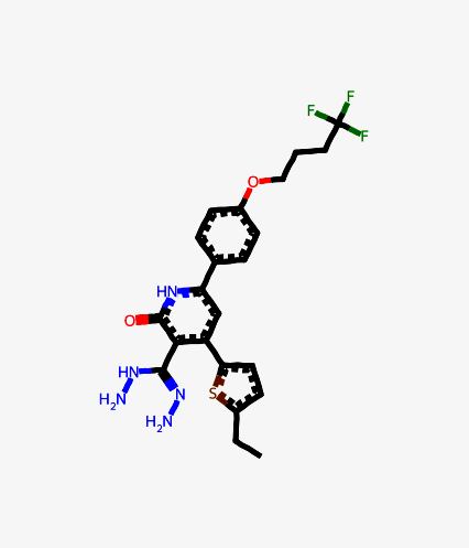 CCc1ccc(-c2cc(-c3ccc(OCCCC(F)(F)F)cc3)[nH]c(=O)c2/C(=N/N)NN)s1